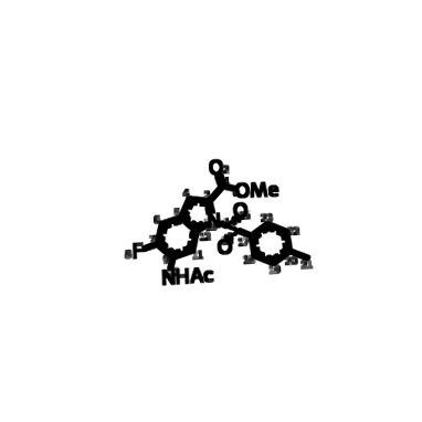 COC(=O)c1cc2cc(F)c(NC(C)=O)cc2n1S(=O)(=O)c1ccc(C)cc1